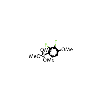 COc1ccc([Si](OC)(OC)OC)c(F)c1F